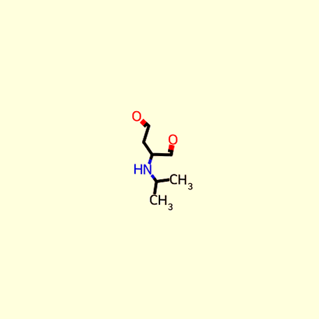 CC(C)NC(C=O)CC=O